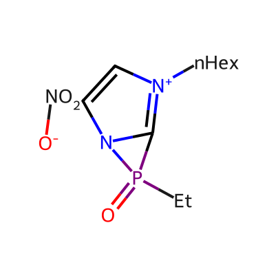 CCCCCC[n+]1ccn2c1P2(=O)CC.O=[N+]([O-])[O-]